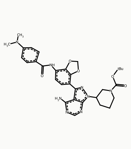 CN(C)c1ccc(C(=O)Nc2ccc(-c3nn(C4CCCN(C(=O)OC(C)(C)C)C4)c4ncnc(N)c34)c3c2OCO3)cc1